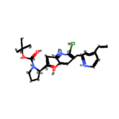 C=Cc1ccnc(-c2cc3oc([C@H]4CCCN4C(=O)OC(C)(C)C)cc3nc2Cl)c1